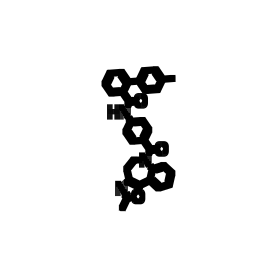 Cc1ccc(-c2ccccc2C(=O)Nc2ccc(C(=O)N3CCc4nc(C)oc4-c4ccccc43)cc2)cc1